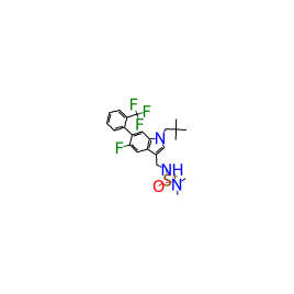 CN(C)[S+]([O-])NCc1cn(CC(C)(C)C)c2cc(-c3ccccc3C(F)(F)F)c(F)cc12